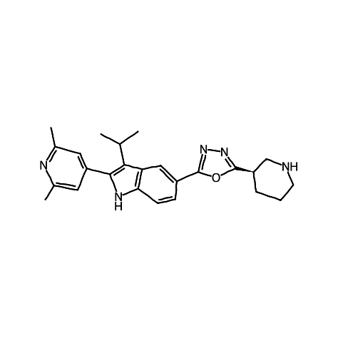 Cc1cc(-c2[nH]c3ccc(-c4nnc([C@@H]5CCCNC5)o4)cc3c2C(C)C)cc(C)n1